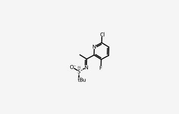 CC(=N[S@+]([O-])C(C)(C)C)c1nc(Cl)ccc1F